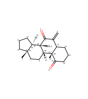 C=C1C(=O)[C@@H]2[C@@H](CC[C@]3(C)CCC[C@@H]23)[C@@]2(C)C(=O)CCCC12